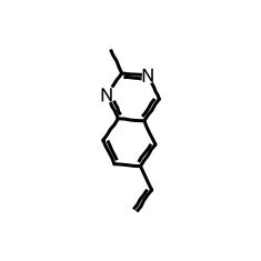 C=Cc1ccc2nc(C)ncc2c1